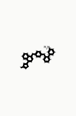 CC1=CCC(c2ccc(Cc3ccc(Cc4ccccc4-c4cccc(N)c4)cc3)c3ccccc23)=C1